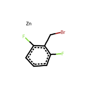 Fc1cccc(F)c1CBr.[Zn]